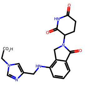 O=C(O)Cn1cnc(CNc2cccc3c2CN(C2CCC(=O)NC2=O)C3=O)c1